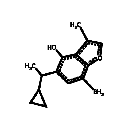 Bc1cc(C(C)C2CC2)c(O)c2c(C)coc12